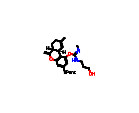 C=C1Oc2cc(CCCCC)cc(O/C(=N\C)NCCCO)c2[C@@H]2C=C(C)CC[C@@H]12